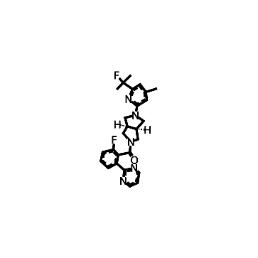 Cc1cc(N2C[C@H]3CN(C(=O)c4c(F)cccc4-c4ncccn4)C[C@H]3C2)nc(C(C)(C)F)c1